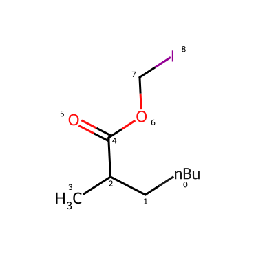 CCCCCC(C)C(=O)OCI